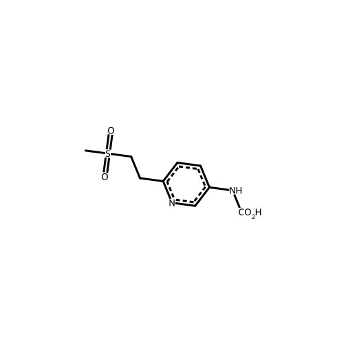 CS(=O)(=O)CCc1ccc(NC(=O)O)cn1